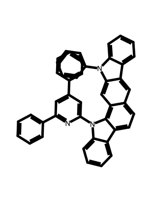 c1ccc(-c2cc(-c3ccccc3)nc(-n3c4ccccc4c4ccc5cc6c7ccccc7n(-c7ccccc7)c6cc5c43)c2)cc1